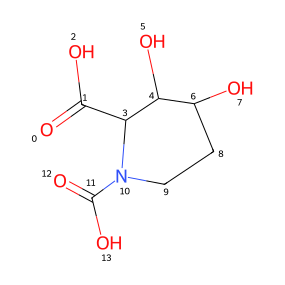 O=C(O)C1C(O)C(O)CCN1C(=O)O